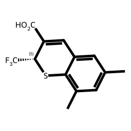 Cc1cc(C)c2c(c1)C=C(C(=O)O)[C@@H](C(F)(F)F)S2